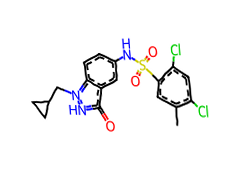 Cc1cc(S(=O)(=O)Nc2ccc3c(c2)c(=O)[nH]n3CC2CC2)c(Cl)cc1Cl